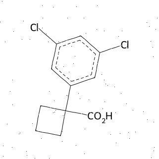 O=C(O)C1(c2cc(Cl)cc(Cl)c2)CCC1